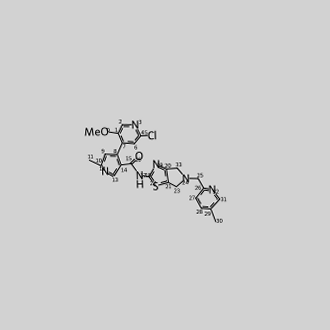 COc1cnc(Cl)cc1-c1cc(C)ncc1C(=O)Nc1nc2c(s1)CN(Cc1ccc(C)cn1)C2